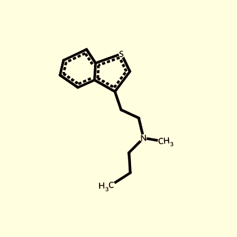 CCCN(C)CCc1csc2ccccc12